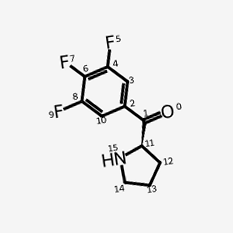 O=C(c1cc(F)c(F)c(F)c1)[C@H]1CCCN1